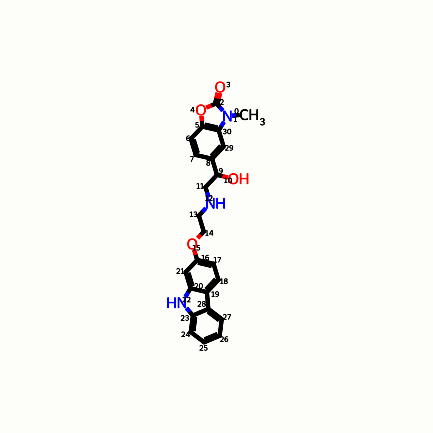 Cn1c(=O)oc2ccc(C(O)CNCCOc3ccc4c(c3)[nH]c3ccccc34)cc21